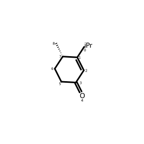 CC(C)C1=CC(=O)CC[C@@H]1C